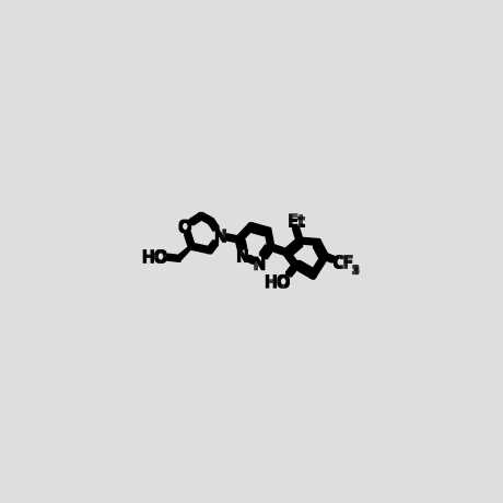 CCc1cc(C(F)(F)F)cc(O)c1-c1ccc(N2CCO[C@H](CO)C2)nn1